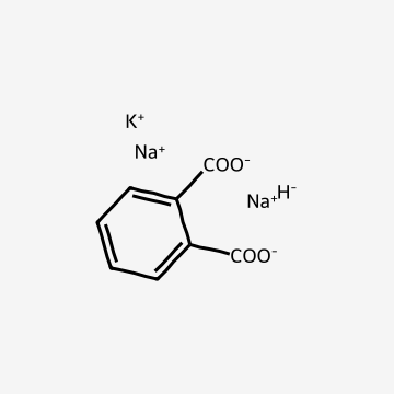 O=C([O-])c1ccccc1C(=O)[O-].[H-].[K+].[Na+].[Na+]